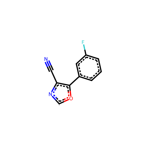 N#Cc1n[c]oc1-c1cccc(F)c1